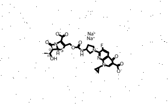 C[C@H](O)[C@H]1C(=O)N2C(C(=O)[O-])=C(COC(=O)NC3CCN(c4nc5c(cc4F)c(=O)c(C(=O)[O-])cn5C4CC4)C3)S[C@@H]12.[Na+].[Na+]